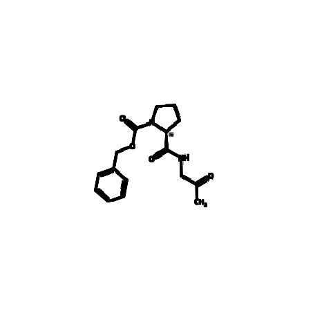 CC(=O)CNC(=O)[C@@H]1CCCN1C(=O)OCc1ccccc1